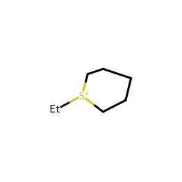 CC[S+]1CCCCC1